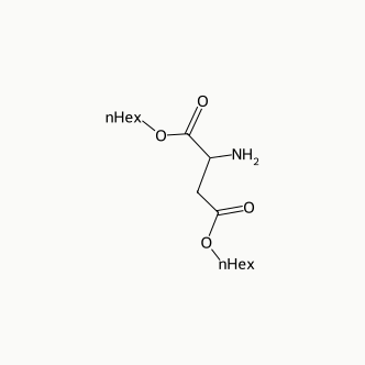 CCCCCCOC(=O)CC(N)C(=O)OCCCCCC